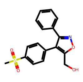 CS(=O)(=O)c1ccc(-c2c(-c3ccccc3)noc2CO)cc1